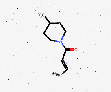 CCCCCCC/C=C/C(=O)N1CCC(C)CC1